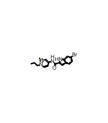 CCCN/C=C\C(=C/OC)NC(=O)c1cc2ccc(Br)cc2[nH]1